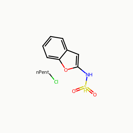 CCCCCCl.O=[SH](=O)Nc1cc2ccccc2o1